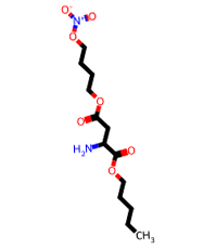 CCCCCOC(=O)C(N)CC(=O)OCCCCO[N+](=O)[O-]